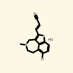 CN1CCc2c(Cl)ccc3sc(/C=C/C#N)c(c23)C1.Cl